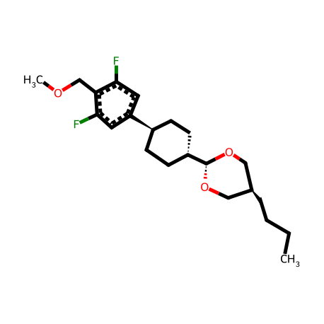 CCCC[C@H]1CO[C@H]([C@H]2CC[C@H](c3cc(F)c(COC)c(F)c3)CC2)OC1